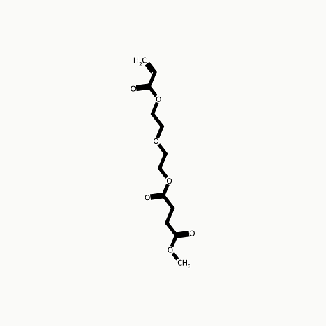 C=CC(=O)OCCOCCOC(=O)CCC(=O)OC